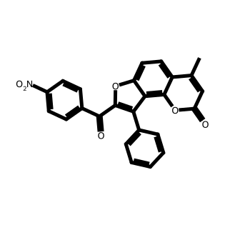 Cc1cc(=O)oc2c1ccc1oc(C(=O)c3ccc([N+](=O)[O-])cc3)c(-c3ccccc3)c12